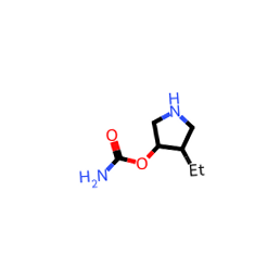 CCC1CNCC1OC(N)=O